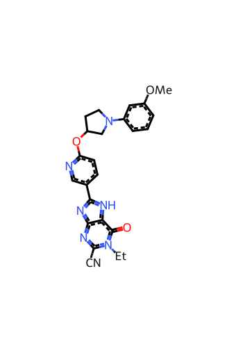 CCn1c(C#N)nc2nc(-c3ccc(OC4CCN(c5cccc(OC)c5)C4)nc3)[nH]c2c1=O